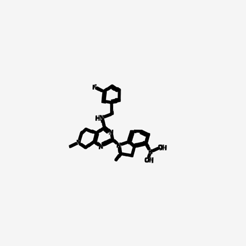 CC1Cc2c(B(O)O)cccc2N1c1nc2c(c(NCc3cccc(F)c3)n1)CCN(C)C2